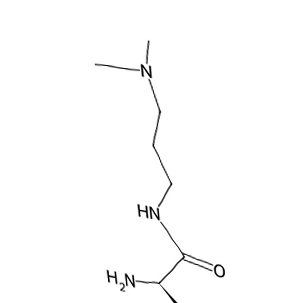 C[C@@H](N)C(=O)NCCCN(C)C